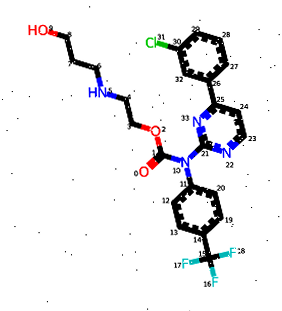 O=C(OCCNCCCO)N(c1ccc(C(F)(F)F)cc1)c1nccc(-c2cccc(Cl)c2)n1